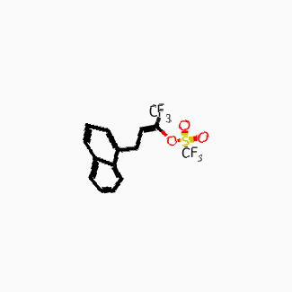 O=S(=O)(OC(=CCc1cccc2ccccc12)C(F)(F)F)C(F)(F)F